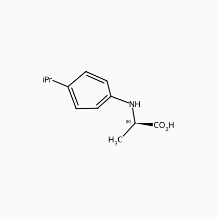 CC(C)c1ccc(N[C@H](C)C(=O)O)cc1